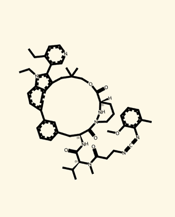 CCc1ccncc1-c1c2c3cc(ccc3n1CC)-c1cccc(c1)C[C@H](NC(=O)[C@H](C(C)C)N(C)C(=O)CCN=C=Nc1c(C)cccc1OC)C(=O)N1CCC[C@H](N1)C(=O)OCC(C)(C)C2